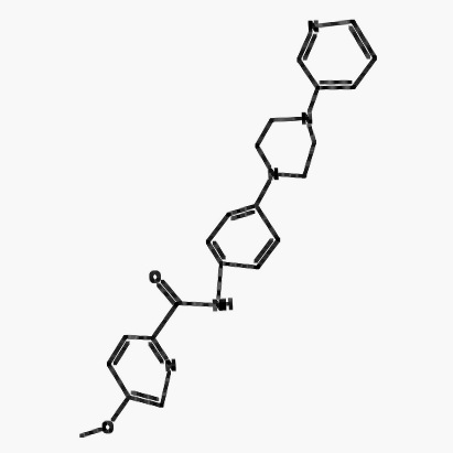 COc1ccc(C(=O)Nc2ccc(N3CCN(c4cccnc4)CC3)cc2)nc1